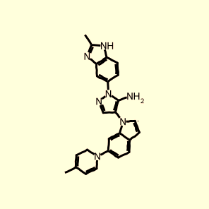 CC1=CCN(c2ccc3c[c]n(-c4cnn(-c5ccc6[nH]c(C)nc6c5)c4N)c3c2)C=C1